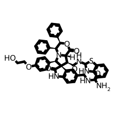 NC(=O)NCc1ccc2c(c1)[C@]1(C(=O)N2)[C@H](C(=O)NC2Nc3ccccc3S2)[C@H]2C(=O)O[C@H](c3ccccc3)[C@H](c3ccccc3)N2[C@@H]1c1ccc(OCCO)cc1